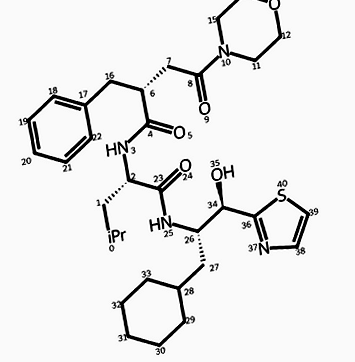 CC(C)C[C@H](NC(=O)[C@@H](CC(=O)N1CCOCC1)Cc1ccccc1)C(=O)N[C@@H](CC1CCCCC1)[C@@H](O)c1nccs1